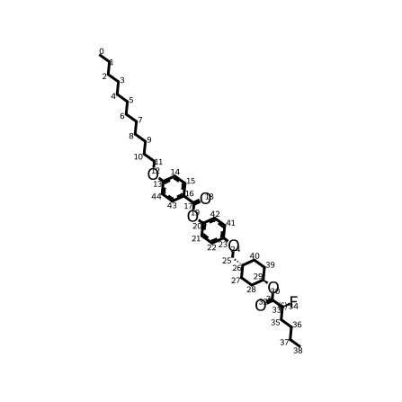 CCCCCCCCCCCCOc1ccc(C(=O)Oc2ccc(OC[C@H]3CC[C@H](OC(=O)[C@@H](F)CCCC)CC3)cc2)cc1